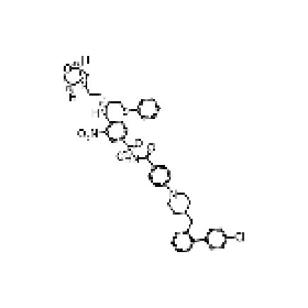 O=C(NS(=O)(=O)c1ccc(N[C@H](CCN2C[C@H]3C[C@@H]2CO3)CSc2ccccc2)c([N+](=O)[O-])c1)c1ccc(N2CCC(Cc3ccccc3-c3ccc(Cl)cc3)CC2)cc1